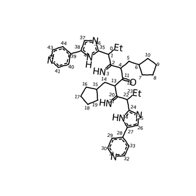 CCC(C(=N)C(CC1CCCC1)C(=O)C(CC1CCCC1)C(=N)C(CC)c1ncc(-c2ccncc2)[nH]1)c1ncc(-c2ccncc2)[nH]1